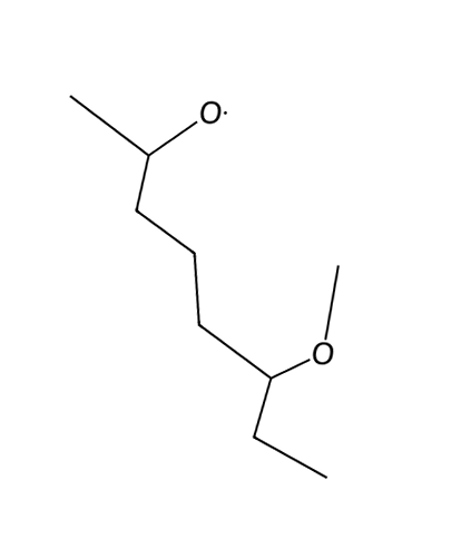 CCC(CCCC(C)[O])OC